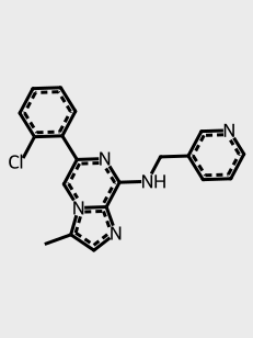 Cc1cnc2c(NCc3cccnc3)nc(-c3ccccc3Cl)cn12